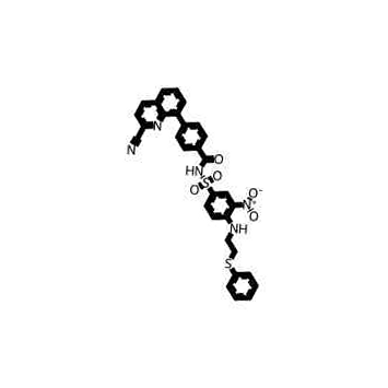 N#Cc1ccc2cccc(-c3ccc(C(=O)NS(=O)(=O)c4ccc(NCCSc5ccccc5)c([N+](=O)[O-])c4)cc3)c2n1